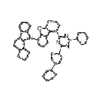 c1ccc(-c2ccc(-c3nc(-c4ccccc4)nc(-c4cccc5oc6c(-n7c8ccccc8c8ccc9ccccc9c87)cccc6c45)n3)cc2)cc1